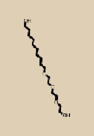 OCCCCCCCCCCOCCOCCOCCO